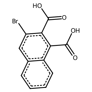 O=C(O)c1c(Br)cc2ccccc2c1C(=O)O